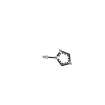 On1cncn1